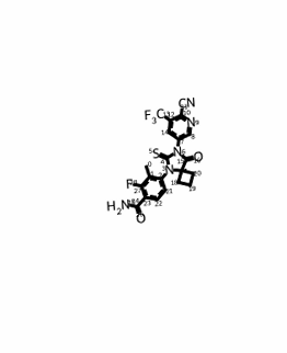 Cc1c(N2C(=S)N(c3cnc(C#N)c(C(F)(F)F)c3)C(=O)C23CCC3)ccc(C(N)=O)c1F